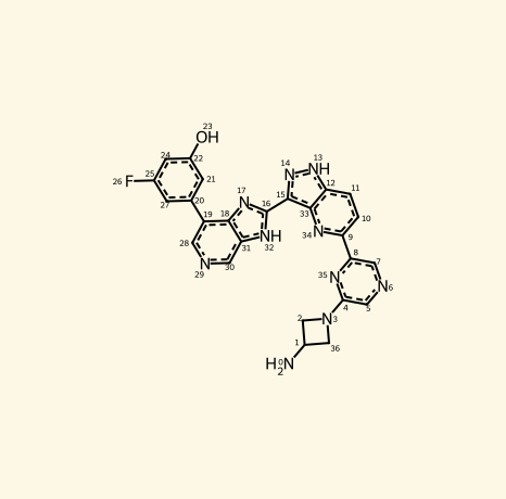 NC1CN(c2cncc(-c3ccc4[nH]nc(-c5nc6c(-c7cc(O)cc(F)c7)cncc6[nH]5)c4n3)n2)C1